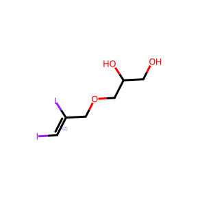 OCC(O)COC/C(I)=C/I